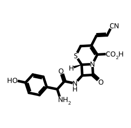 N#CC=CC1=C(C(=O)O)N2C(=O)C(NC(=O)C(N)c3ccc(O)cc3)[C@@H]2SC1